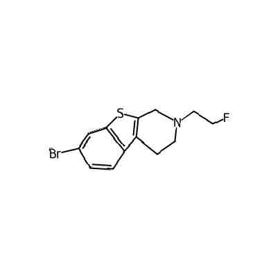 FCCN1CCc2c(sc3cc(Br)ccc23)C1